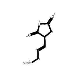 CCCCCC/C=C/C1CC(=O)OC1=O